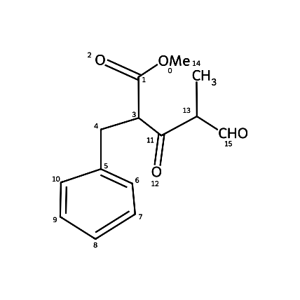 COC(=O)C(Cc1ccccc1)C(=O)C(C)C=O